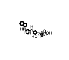 O=C(O)NS(=O)(=O)OC[C@H]1C[C@@H](Nc2cc(N[C@H]3CCc4ccccc43)ncn2)C[C@H]1O